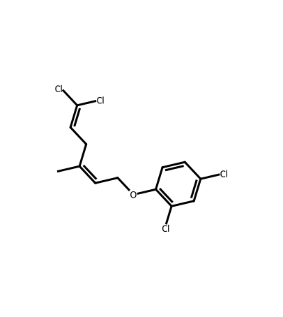 CC(=CCOc1ccc(Cl)cc1Cl)CC=C(Cl)Cl